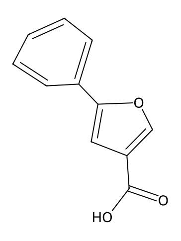 O=C(O)c1coc(-c2ccccc2)c1